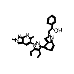 CCc1c(-c2cccc3nn(C[C@H](O)c4ccccc4)cc23)nn(-c2cc3cn(C)nc3nc2C)c1CC